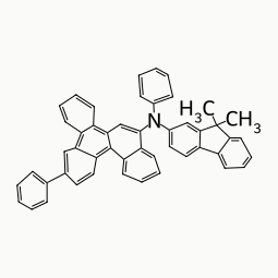 CC1(C)c2ccccc2-c2ccc(N(c3ccccc3)c3cc4c5ccccc5c5cc(-c6ccccc6)ccc5c4c4ccccc34)cc21